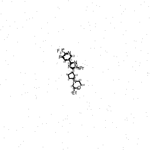 CC[C@H]1CN([C@@H]2CC[C@H](c3nc(-c4cnc(C(F)(F)F)c(F)c4)nn3C(C)C)C2)CCO1